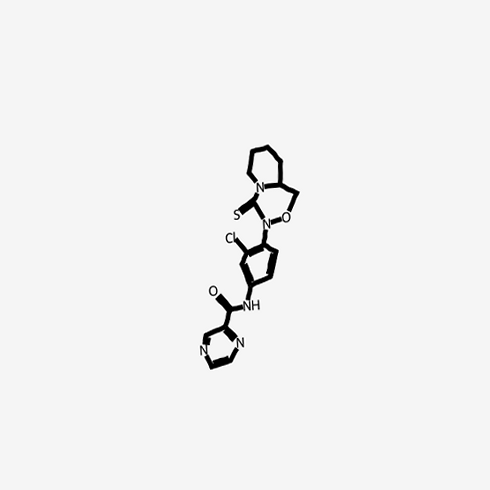 O=C(Nc1ccc(N2OCC3CCCCN3C2=S)c(Cl)c1)c1cnccn1